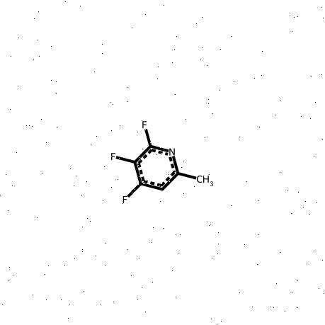 Cc1cc(F)c(F)c(F)n1